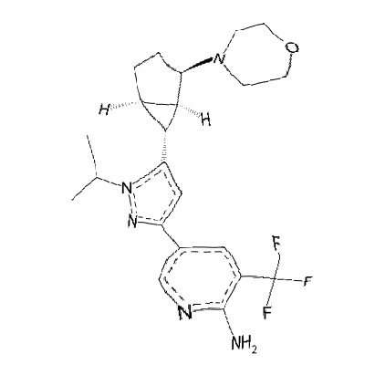 CC(C)n1nc(-c2cnc(N)c(C(F)(F)F)c2)cc1[C@@H]1[C@H]2CC[C@@H](N3CCOCC3)[C@H]21